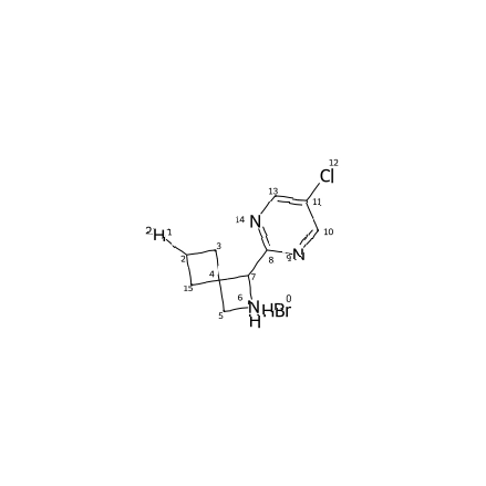 Br.[2H]C1CC2(CNC2c2ncc(Cl)cn2)C1